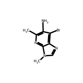 Cc1nc2c(ncn2C)c(Br)c1N